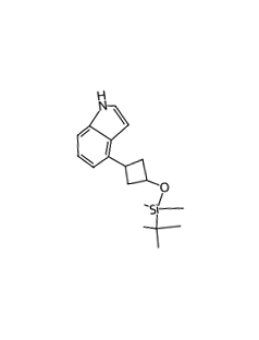 CC(C)(C)[Si](C)(C)OC1CC(c2cccc3[nH]ccc23)C1